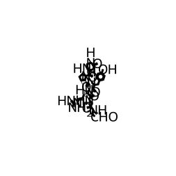 N=C(N)NCCC[C@H](NC(=O)C(Cc1ccc(O)cc1)NC(=O)[C@@H]1CCCN1C(=O)[C@@H]1CC(=O)NCN1)C(=O)NCC(=O)NCC=O